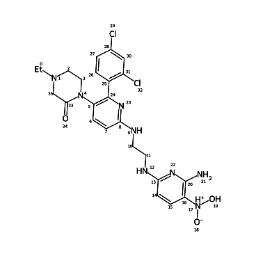 CCN1CCN(c2ccc(NCCNc3ccc([NH+]([O-])O)c(N)n3)nc2-c2ccc(Cl)cc2Cl)C(=O)C1